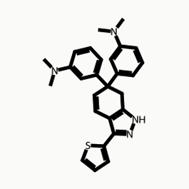 CN(C)c1cccc(C2(c3cccc(N(C)C)c3)C=Cc3c(-c4cccs4)n[nH]c3C2)c1